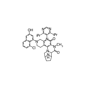 CC(C)c1ncnc(C(C)C)c1-n1c2c(c3c(c1=O)N(C)C(=O)C1C4CCC(CN31)N4)CCN(c1cc(O)cc3cccc(Cl)c13)C2